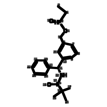 CC[PH](=O)OCc1cccc([C@H](N[S+]([O-])C(C)(C)C)c2ccccc2)c1